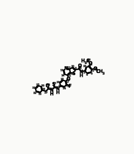 COc1ccc(NC(=O)c2cc3nccc(Oc4ccc(NC(=S)NC(=O)Cc5ccccc5)cc4F)c3s2)cc1OC